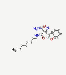 CCCCCCCCNC(=O)c1c(-c2coc3ccccc23)noc1N